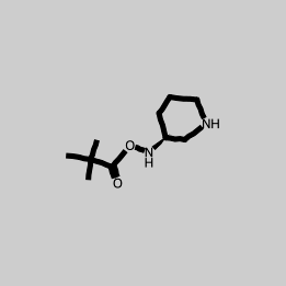 CC(C)(C)C(=O)ON[C@H]1CCCNC1